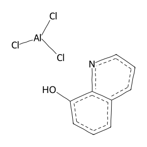 Oc1cccc2cccnc12.[Cl][Al]([Cl])[Cl]